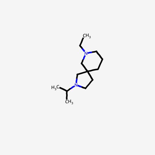 CCN1CCCC2(CCN(C(C)C)C2)C1